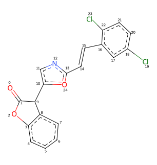 O=C1Oc2ccccc2C1c1cnc(/C=C/c2cc(Cl)ccc2Cl)o1